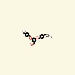 C=Cc1ccc(COc2cc(CBr)cc(OCc3ccc(C=C)cc3)c2)cc1